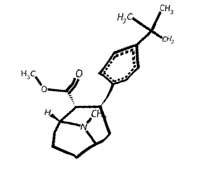 COC(=O)[C@@H]1[C@@H](c2ccc(C(C)(C)C)cc2)CC2CC[C@H]1N2C